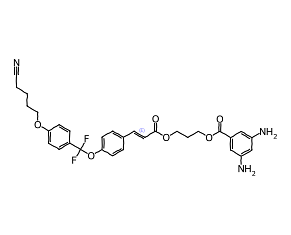 N#CCCCCOc1ccc(C(F)(F)Oc2ccc(/C=C/C(=O)OCCCOC(=O)c3cc(N)cc(N)c3)cc2)cc1